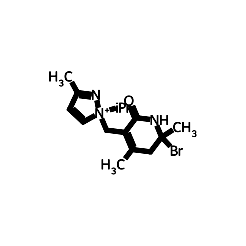 CC1=N[N+](CC2=C(C)CC(C)(Br)NC2=O)(C(C)C)C=C1